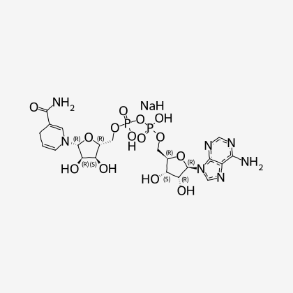 NC(=O)C1=CN([C@@H]2O[C@H](COP(=O)(O)OP(=O)(O)OC[C@H]3O[C@@H](n4cnc5c(N)ncnc54)[C@H](O)[C@@H]3O)[C@@H](O)[C@H]2O)C=CC1.[NaH]